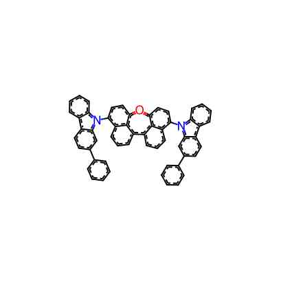 c1ccc(-c2ccc3c4ccccc4n(-c4ccc5oc6ccc(-n7c8ccccc8c8ccc(-c9ccccc9)cc87)c7cccc(c8cccc4c58)c67)c3c2)cc1